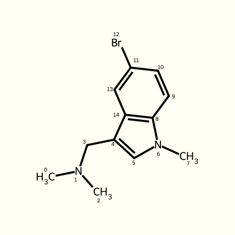 CN(C)Cc1cn(C)c2ccc(Br)cc12